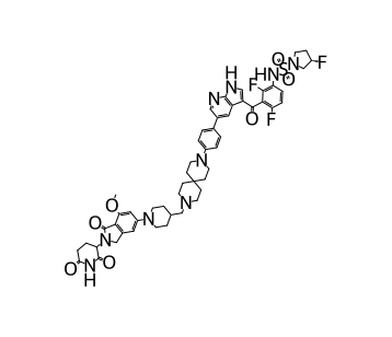 COc1cc(N2CCC(CN3CCC4(CC3)CCN(c3ccc(-c5cnc6[nH]cc(C(=O)c7c(F)ccc(NS(=O)(=O)N8CC[C@@H](F)C8)c7F)c6c5)cc3)CC4)CC2)cc2c1C(=O)N(C1CCC(=O)NC1=O)C2